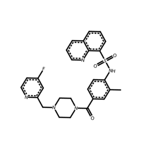 Cc1cc(C(=O)N2CCN(Cc3cc(F)ccn3)CC2)ccc1NS(=O)(=O)c1cccc2cccnc12